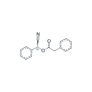 N#C[C@@H](OC(=O)Cc1ccccc1)c1ccccc1